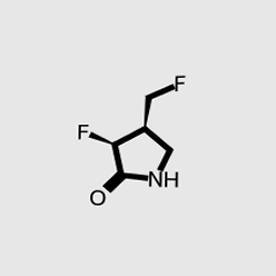 O=C1NC[C@H](CF)[C@@H]1F